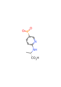 C[C@H](Nc1ccc(P(=O)=O)cn1)C(=O)O